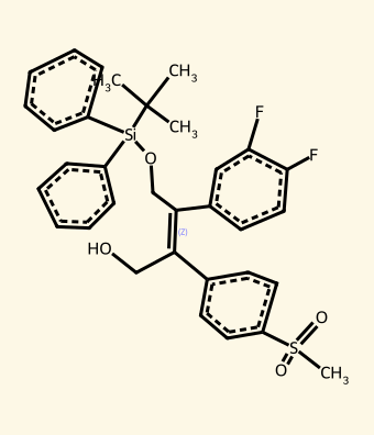 CC(C)(C)[Si](OC/C(=C(\CO)c1ccc(S(C)(=O)=O)cc1)c1ccc(F)c(F)c1)(c1ccccc1)c1ccccc1